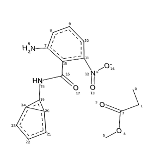 CCC(=O)OC.Nc1cccc([N+](=O)[O-])c1C(=O)Nc1c2cccc1-2